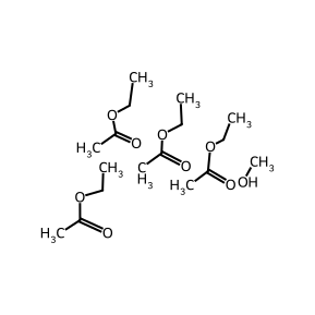 CCOC(C)=O.CCOC(C)=O.CCOC(C)=O.CCOC(C)=O.CO